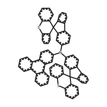 c1ccc2c(c1)Sc1ccccc1C21c2ccccc2-c2ccc(N(c3ccc4c(c3)C3(c5ccccc5Sc5ccccc53)c3ccccc3-4)c3ccc4c5ccccc5c5ccccc5c4c3)cc21